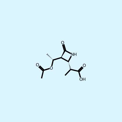 CC(=O)O[C@H](C)[C@H]1C(=O)N[C@@H]1C(C)C(=O)O